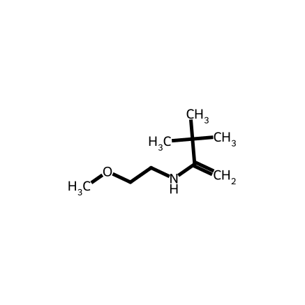 C=C(NCCOC)C(C)(C)C